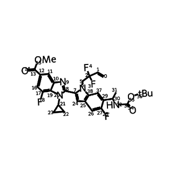 C=CC(F)(F)Cn1c(-c2nc3cc(C(=O)OC)cc(F)c3n2C2CC2)cc2cc(F)c(C(C)NC(=O)OC(C)(C)C)cc21